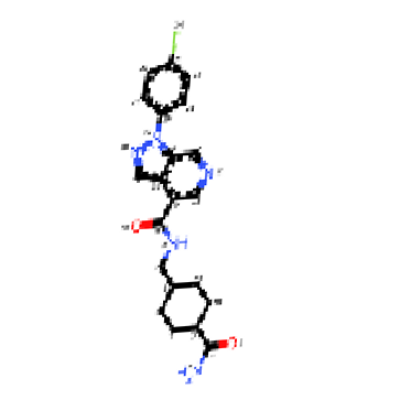 NC(=O)C1CCC(CNC(=O)c2cncc3c2cnn3-c2ccc(F)cc2)CC1